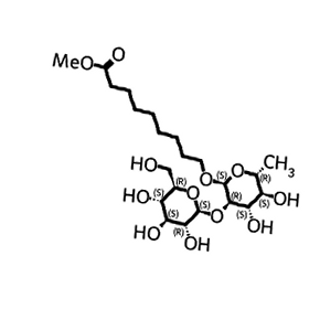 COC(=O)CCCCCCCCO[C@H]1O[C@H](C)[C@@H](O)[C@H](O)[C@H]1O[C@@H]1O[C@H](CO)[C@@H](O)[C@H](O)[C@H]1O